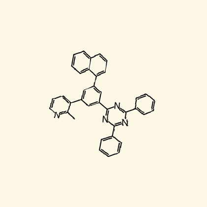 Cc1ncccc1-c1cc(-c2nc(-c3ccccc3)nc(-c3ccccc3)n2)cc(-c2cccc3ccccc23)c1